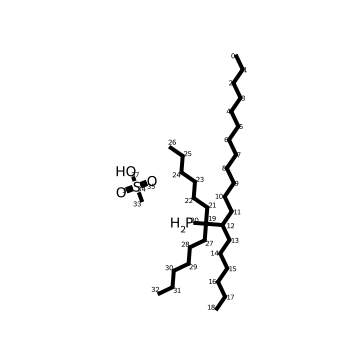 CCCCCCCCCCCCC(CCCCCC)C(P)(CCCCCC)CCCCCC.CS(=O)(=O)O